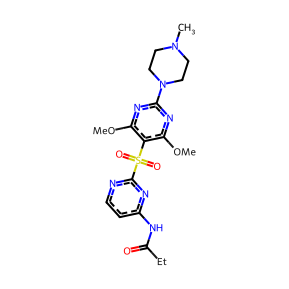 CCC(=O)Nc1ccnc(S(=O)(=O)c2c(OC)nc(N3CCN(C)CC3)nc2OC)n1